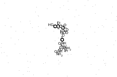 CCc1c2c(nc3ccc(O)cc13)-c1cc3c(c(=O)n1C2)COC(=O)[C@]3(CC)OC(=O)OCc1ccc(NC(=O)[C@H](CCCNC(N)=O)NC(=O)[C@@H](N)C(C)C)cc1